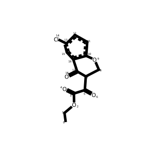 CCOC(=O)C(=O)C1COc2ccc(Cl)cc2C1=O